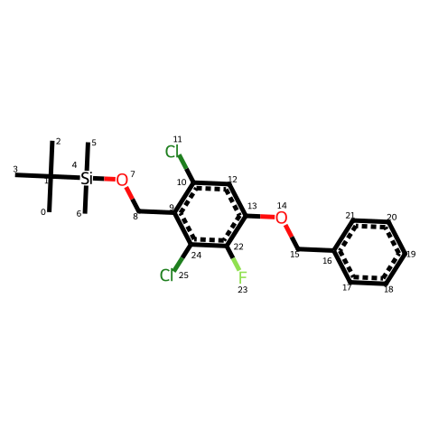 CC(C)(C)[Si](C)(C)OCc1c(Cl)cc(OCc2ccccc2)c(F)c1Cl